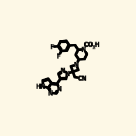 N#CCC1(n2cc(-c3ncnc4[nH]ccc34)cn2)CN(C2CCN(C(=O)O)C(Cc3ccc(F)c(F)c3)C2)C1